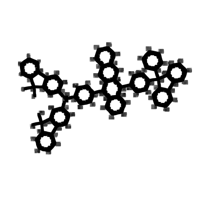 CC1(C)c2ccccc2-c2ccc(N(c3ccc(-c4c5ccccc5c(-c5ccc(C6(c7ccccc7)c7ccccc7-c7ccccc76)cc5)c5cc6ccccc6cc45)cc3)c3ccc4c(c3)C(C)(C)c3ccccc3-4)cc21